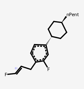 CCCCC[C@H]1CC[C@H](c2ccc(C/C=C/F)c(F)c2)CC1